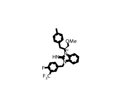 COC[C@H](Cc1ccc(C)cc1)n1c(=N)n(Cc2ccc(F)c(C(F)(F)F)c2)c2ccccc21